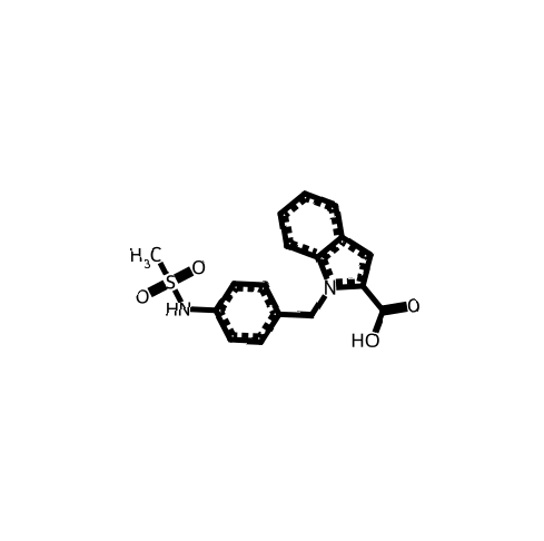 CS(=O)(=O)Nc1ccc(Cn2c(C(=O)O)cc3ccccc32)cc1